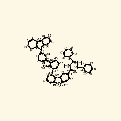 C1=Cc2c(n(-c3ccc4sc5c(-c6cccc7oc8ccc(C9=NC(c%10ccccc%10)NC(c%10ccccc%10)N9)cc8c67)cccc5c4c3)c3ccccc23)CC1